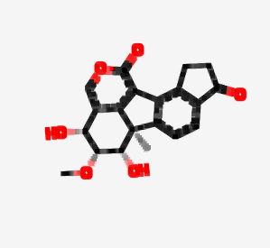 CO[C@@H]1[C@H](O)c2coc(=O)c3c2[C@@](C)(c2ccc4c(c2-3)CCC4=O)[C@@H]1O